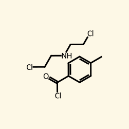 Cc1ccc(C(=O)Cl)cc1.ClCCNCCCl